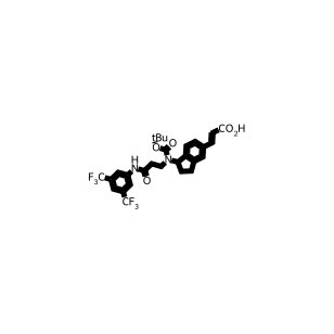 CC(C)(C)OC(=O)N(CCC(=O)Nc1cc(C(F)(F)F)cc(C(F)(F)F)c1)C1CCc2cc(/C=C/C(=O)O)ccc21